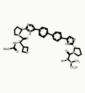 COC(=O)N[C@H](C(=O)N1CCC[C@H]1c1ncc(-c2ccc(-c3ccc(-c4cnc([C@@H]5CCCN5C(=O)[C@H](C(C)C)N(C)C(=O)O)[nH]4)cc3)cc2)[nH]1)C1COC1